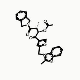 CC(=O)O[C@@H](C(=O)c1csc(Cn2c(C)nc3ccccc32)c1)[C@@H](C)C(=O)N1Cc2ccccc2C1